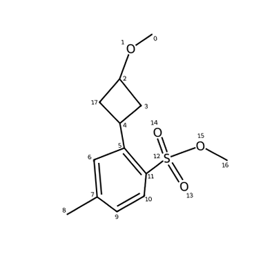 COC1CC(c2cc(C)ccc2S(=O)(=O)OC)C1